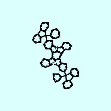 c1ccc(C2(c3ccc4c5c6c7ccccc7n7c8cc(C9(c%10ccccc%10)c%10ccccc%10-c%10ccccc%109)ccc8c(c8c9ccccc9n(c4c3)c85)c67)c3ccccc3-c3ccccc32)cc1